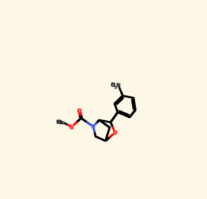 CC(C)(C)OC(=O)N1CC2CC1C(c1cccc([N+](=O)[O-])c1)O2